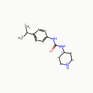 CC(C)c1ccc(NC(=O)NC2CCNCC2)cc1